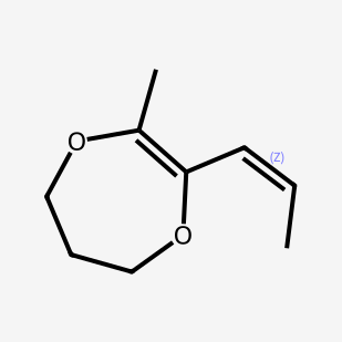 C/C=C\C1=C(C)OCCCO1